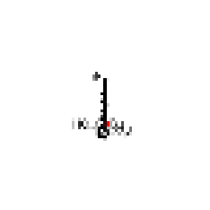 CCCCC1(C(=O)O)CC=CCC1(CCCCCCCCCCCC(C)C)C(=O)O